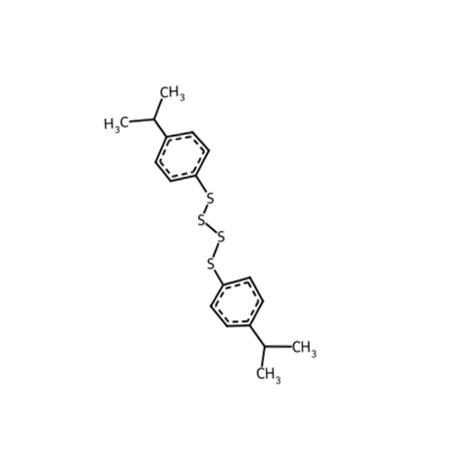 CC(C)c1ccc(SSSSc2ccc(C(C)C)cc2)cc1